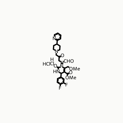 COCC1=C(C(=O)OC)C(c2ccc(F)c(F)c2)NC(=O)N1N(C=O)CC(=O)CN1CCC(c2ccccn2)CC1.Cl.Cl